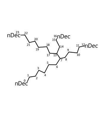 CCCCCCCCCCCCCCCC[C](CCCCCCCCCCCCCC)C(CCCCCCCCCCCC)CCCCCCCCCCCCCCCC